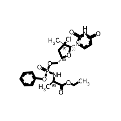 CCOC(=O)[C@@H](C)NP(=O)(OC[C@@H]1C[C@@](C)(Cl)[C@H](n2ccc(=O)[nH]c2=O)O1)Oc1ccccc1